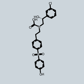 O=C(O)N(CCc1ccc(S(=O)(=O)c2ccc(O)cc2)cc1)C[C@H](O)c1cccc(Cl)c1